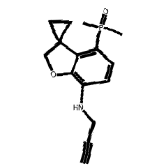 C#CCNc1ccc(P(C)(C)=O)c2c1OCC21CC1